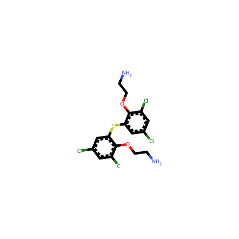 NCCOc1c(Cl)cc(Cl)cc1Sc1cc(Cl)cc(Cl)c1OCCN